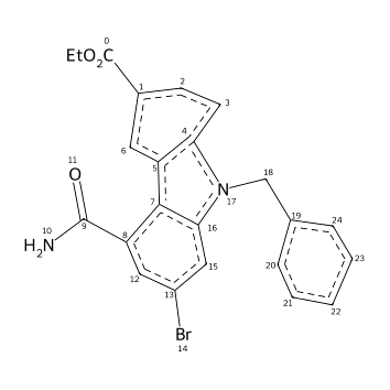 CCOC(=O)c1ccc2c(c1)c1c(C(N)=O)cc(Br)cc1n2Cc1ccccc1